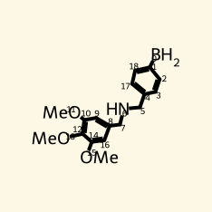 Bc1ccc(CNCc2cc(OC)c(OC)c(OC)c2)cc1